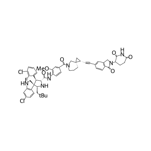 COc1cc(C(=O)N2CCC[C@@]3(C[C@@H]3C#Cc3ccc4c(c3)CN(C3CCC(=O)NC3=O)C4=O)C2)ccc1NC(=O)[C@@H]1N[C@@H](CC(C)(C)C)[C@@]2(CNc3cc(Cl)ccc32)[C@H]1c1cccc(Cl)c1F